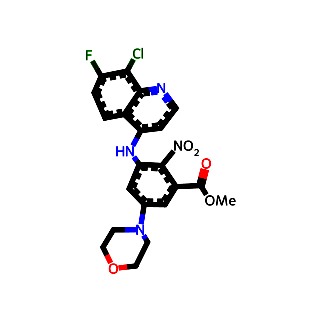 COC(=O)c1cc(N2CCOCC2)cc(Nc2ccnc3c(Cl)c(F)ccc23)c1[N+](=O)[O-]